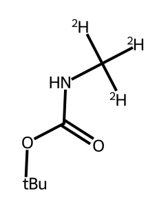 [2H]C([2H])([2H])NC(=O)OC(C)(C)C